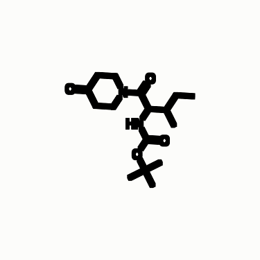 CCC(C)C(NC(=O)OC(C)(C)C)C(=O)N1CCC(=O)CC1